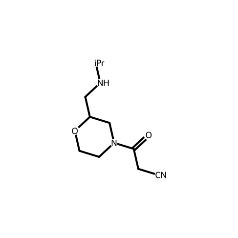 CC(C)NCC1CN(C(=O)CC#N)CCO1